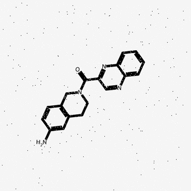 Nc1ccc2c(c1)CCN(C(=O)c1cnc3ccccc3n1)C2